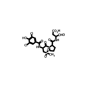 CS(=O)(=O)CC(NC(=O)c1cc(Cl)c(O)c(Cl)c1)C(=O)N1CCCC1C(=O)NC(C=O)CC(=O)O